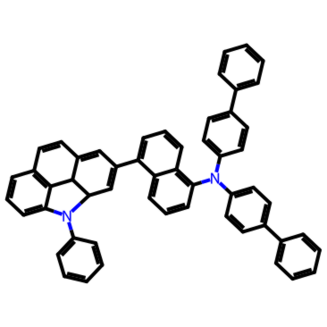 C1=Cc2cccc3c2C2C1=CC(c1cccc4c(N(c5ccc(-c6ccccc6)cc5)c5ccc(-c6ccccc6)cc5)cccc14)=CC2N3c1ccccc1